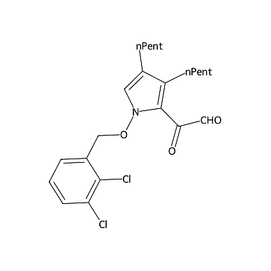 CCCCCc1cn(OCc2cccc(Cl)c2Cl)c(C(=O)C=O)c1CCCCC